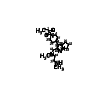 CCS(=O)(=O)N1CC=C(c2c(CN(C)CCNC)nn3c2CCC3)CC1